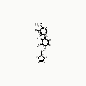 Cc1ccc2c(sc3c(F)c(OCC4CC=CC4)ccc32)c1F